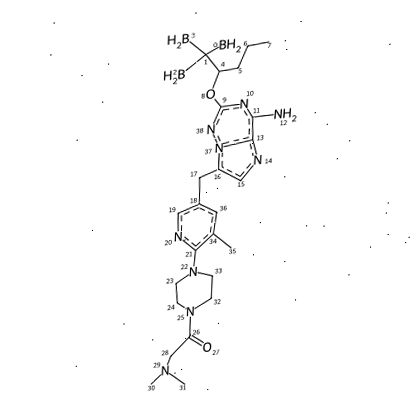 BC(B)(B)C(CCC)Oc1nc(N)c2ncc(Cc3cnc(N4CCN(C(=O)CN(C)C)CC4)c(C)c3)n2n1